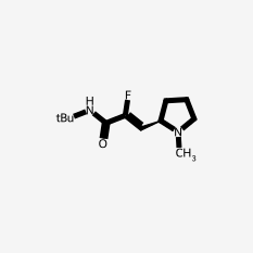 CN1CCC[C@@H]1/C=C(\F)C(=O)NC(C)(C)C